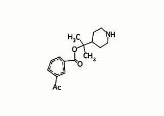 CC(=O)c1cccc(C(=O)OC(C)(C)C2CCNCC2)c1